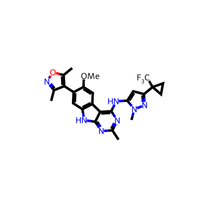 COc1cc2c(cc1-c1c(C)noc1C)[nH]c1nc(C)nc(Nc3cc(C4(C(F)(F)F)CC4)nn3C)c12